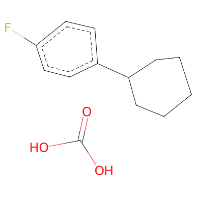 Fc1ccc(C2CCCCC2)cc1.O=C(O)O